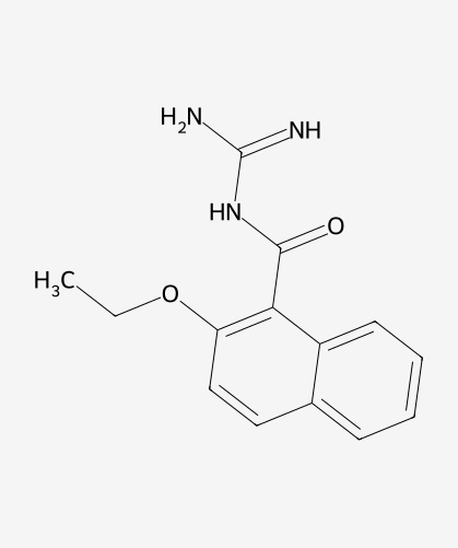 CCOc1ccc2ccccc2c1C(=O)NC(=N)N